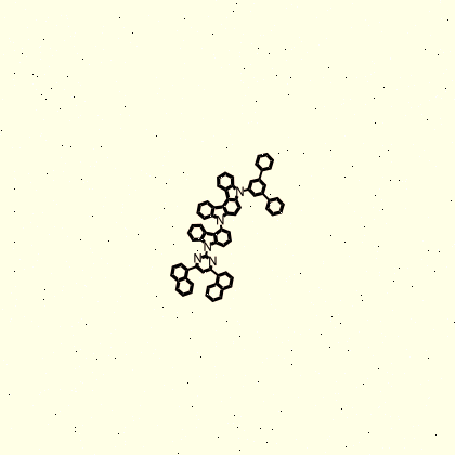 c1ccc(-c2cc(-c3ccccc3)cc(-n3c4ccccc4c4c5c6ccccc6n(-c6cccc7c6c6ccccc6n7-c6nc(-c7cccc8ccccc78)cc(-c7cccc8ccccc78)n6)c5ccc43)c2)cc1